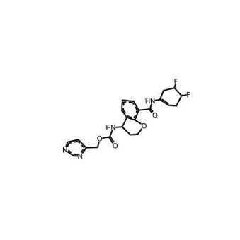 O=C(NC1CCOc2c(C(=O)NC3=CCC(F)C(F)C3)cccc21)OCc1ccncn1